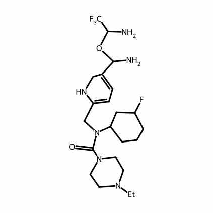 CCN1CCN(C(=O)N(CC2=CC=C(C(N)OC(N)C(F)(F)F)CN2)C2CCCC(F)C2)CC1